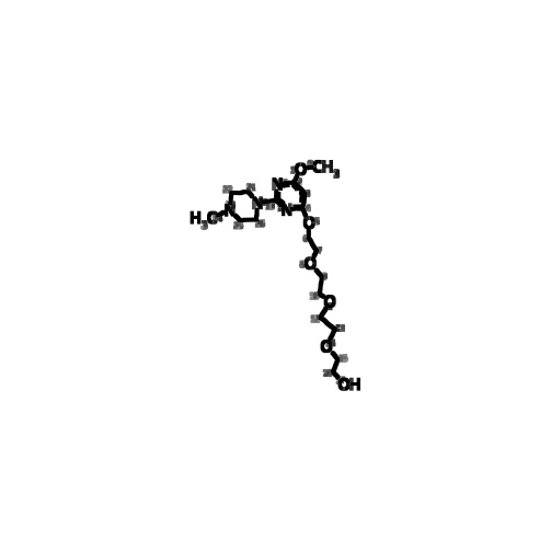 COc1cc(OCCOCCOCCOCCO)nc(N2CCN(C)CC2)n1